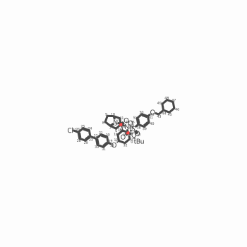 CC(C)(C)OC(=O)NC1CC2CCC(C1)N2C(=O)[C@@H]1C[C@@H](Oc2ccc(-c3ccc(Cl)cc3)cc2)CCN1S(=O)(=O)c1ccc(OCC2CCCCC2)cc1